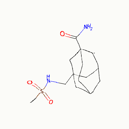 CS(=O)(=O)NCC12CC3[CH]C(C(N)=O)(CC(C3)C1)C2